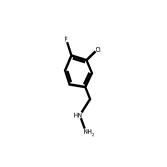 NNCc1ccc(F)c(Cl)c1